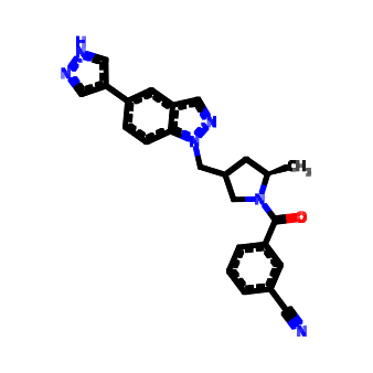 C[C@@H]1CC(Cn2ncc3cc(-c4cn[nH]c4)ccc32)CN1C(=O)c1cccc(C#N)c1